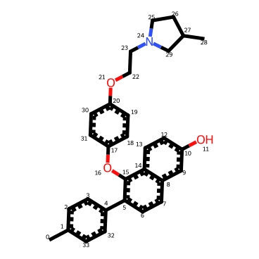 Cc1ccc(-c2ccc3cc(O)ccc3c2Oc2ccc(OCCN3CCC(C)C3)cc2)cc1